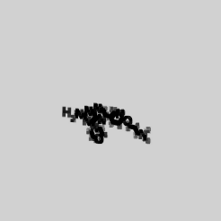 CN(C)CCCOc1ccc(-c2cnc3nc(N)nc(N4CCOCC4)c3n2)cn1